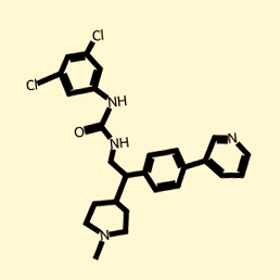 CN1CCC(C(CNC(=O)Nc2cc(Cl)cc(Cl)c2)c2ccc(-c3cccnc3)cc2)CC1